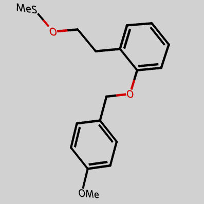 COc1ccc(COc2ccccc2CCOSC)cc1